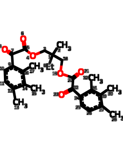 CCC(C)(COC(=O)C(=O)c1ccc(C)c(C)c1C)COC(=O)C(=O)c1ccc(C)c(C)c1C